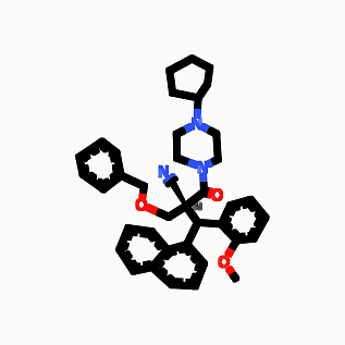 COc1ccccc1C(c1cccc2ccccc12)[C@](C#N)(COCc1ccccc1)C(=O)N1CCN(C2CCCCC2)CC1